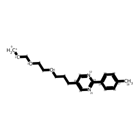 [CH2+][CH-]COCCOCCCc1cnc(-c2ccc(C)cc2)nc1